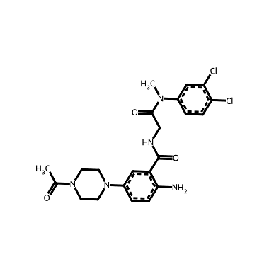 CC(=O)N1CCN(c2ccc(N)c(C(=O)NCC(=O)N(C)c3ccc(Cl)c(Cl)c3)c2)CC1